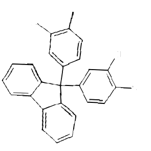 Cc1ccc(C2(c3ccc(N)c(Cl)c3)c3ccccc3-c3ccccc32)cc1Cl